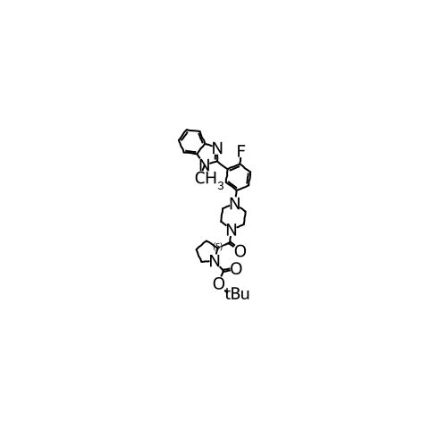 Cn1c(-c2cc(N3CCN(C(=O)[C@@H]4CCCN4C(=O)OC(C)(C)C)CC3)ccc2F)nc2ccccc21